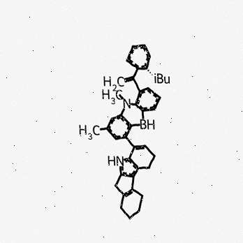 C=C(c1ccccc1[C@@H](C)CC)c1cccc2c1N(C)c1cc(C)cc(C3=CCCc4c3[nH]c3c4C4=C(CCCC4)C3)c1B2